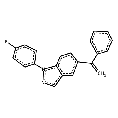 C=C(c1ccccc1)c1ccc2c(cnn2-c2ccc(F)cc2)c1